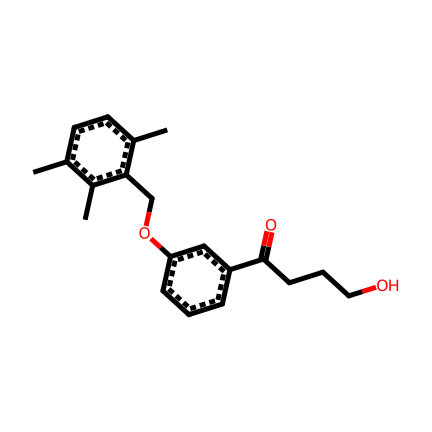 Cc1ccc(C)c(COc2cccc(C(=O)CCCO)c2)c1C